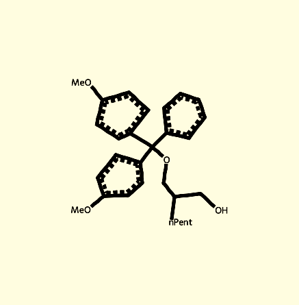 CCCCCC(CO)COC(c1ccccc1)(c1ccc(OC)cc1)c1ccc(OC)cc1